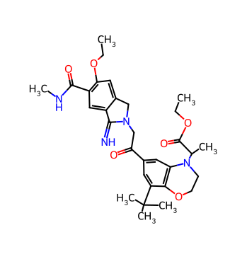 CCOC(=O)C(C)N1CCOc2c1cc(C(=O)CN1Cc3cc(OCC)c(C(=O)NC)cc3C1=N)cc2C(C)(C)C